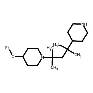 CCOC1CCN(C(C)(C)CC(C)(C)C2CCNCC2)CC1